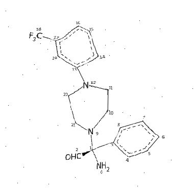 N[C@@](C=O)(c1ccccc1)N1CCN(c2cccc(C(F)(F)F)c2)CC1